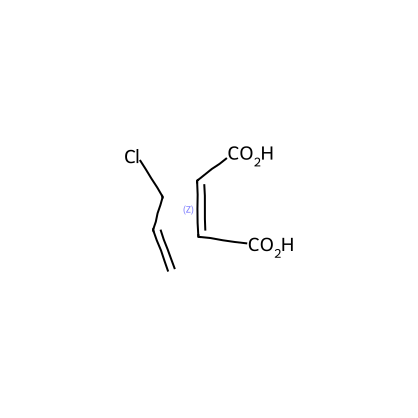 C=CCCl.O=C(O)/C=C\C(=O)O